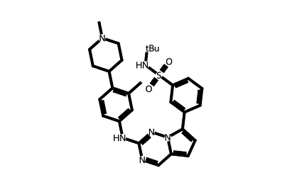 Cc1cc(Nc2ncc3ccc(-c4cccc(S(=O)(=O)NC(C)(C)C)c4)n3n2)ccc1C1CCN(C)CC1